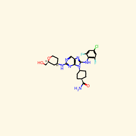 NC(=O)[C@H]1CC[C@@H](n2c(Nc3c(F)cc(Cl)cc3F)nc3cnc(N[C@@H]4CCO[C@H](CO)C4)nc32)CC1